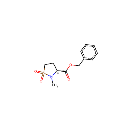 CN1[C@H](C(=O)OCc2ccccc2)CCS1(=O)=O